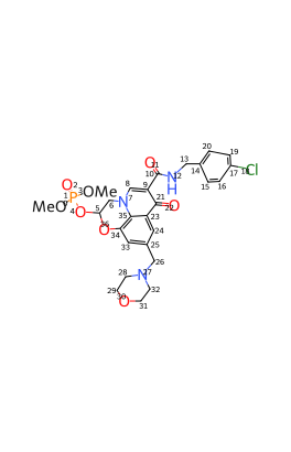 COP(=O)(OC)OC1Cn2cc(C(=O)NCc3ccc(Cl)cc3)c(=O)c3cc(CN4CCOCC4)cc(c32)O1